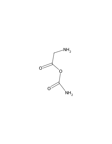 NCC(=O)OC(N)=O